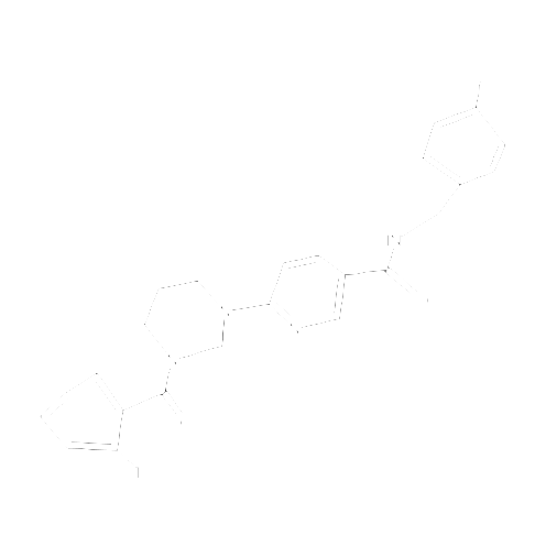 O=C(NCc1ccc(F)cc1)c1ccc(N2CCCN(C(=O)c3ccccc3F)C2)nc1